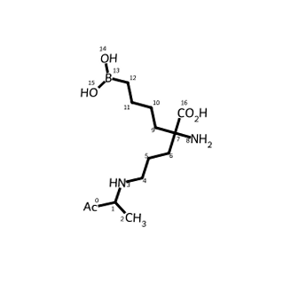 CC(=O)C(C)NCCCC(N)(CCCCB(O)O)C(=O)O